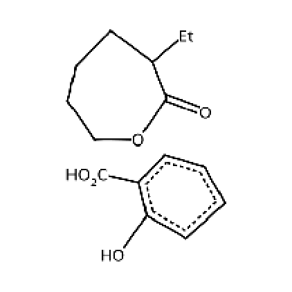 CCC1CCCCOC1=O.O=C(O)c1ccccc1O